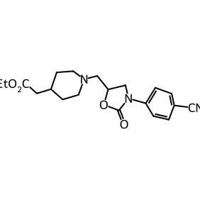 CCOC(=O)CC1CCN(CC2CN(c3ccc(C#N)cc3)C(=O)O2)CC1